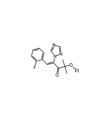 CCOC(C)(C)C(=O)/C(=C/c1ccccc1F)n1cncn1